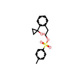 Cc1ccc(S(=O)(=O)OCCc2ccccc2C2(O)CC2)cc1